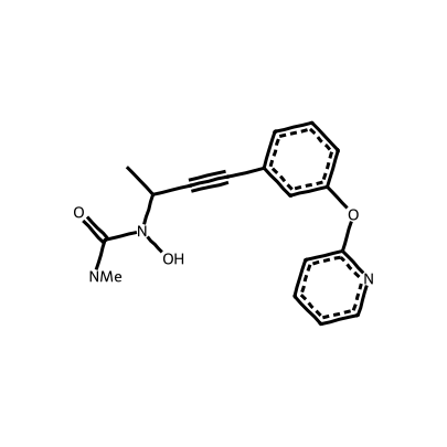 CNC(=O)N(O)C(C)C#Cc1cccc(Oc2ccccn2)c1